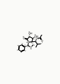 CC(=O)O[C@@H](C(C)C)[C@@]12CO[C@@H](c3ccccc3)N1C(=O)[C@H](O)[C@H]2O